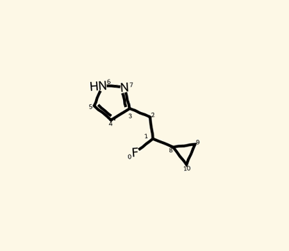 FC(Cc1[c]c[nH]n1)C1CC1